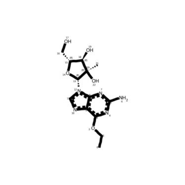 CCOc1nc(N)nc2c1ncn2[C@@H]1O[C@H](CO)[C@@H](O)[C@@]1(C)O